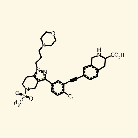 CS(=O)(=O)N1CCc2c(c(-c3ccc(Cl)c(C#Cc4ccc5c(c4)CNC(C(=O)O)C5)c3)nn2CCCN2CCOCC2)C1